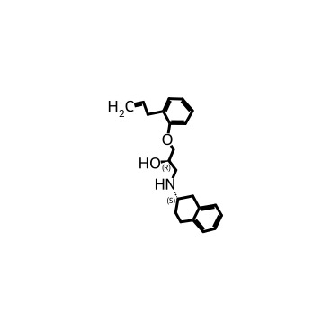 C=CCc1ccccc1OC[C@H](O)CN[C@H]1CCc2ccccc2C1